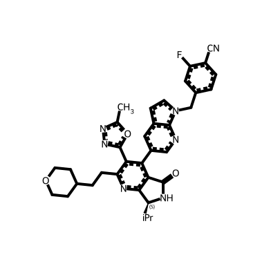 Cc1nnc(-c2c(CCC3CCOCC3)nc3c(c2-c2cnc4c(ccn4Cc4ccc(C#N)c(F)c4)c2)C(=O)N[C@H]3C(C)C)o1